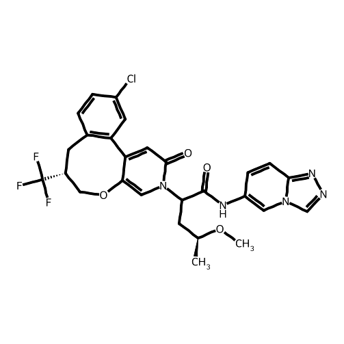 CO[C@@H](C)CC(C(=O)Nc1ccc2nncn2c1)n1cc2c(cc1=O)-c1cc(Cl)ccc1C[C@@H](C(F)(F)F)CO2